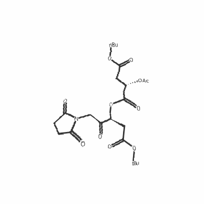 CCCCOC(=O)C[C@H](OC(C)=O)C(=O)O[C@@H](CC(=O)OC(C)(C)C)C(=O)CN1C(=O)CCC1=O